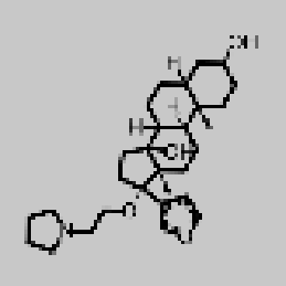 C[C@]12CC[C@H](O)C[C@H]1CC[C@@H]1[C@@H]2CC[C@]2(C)[C@@](OCCN3CCCC3)(c3ccoc3)CC[C@]12O